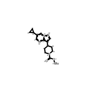 CC(C)(C)OC(=O)N1CCC(c2cnn3cc(C4CC4)cnc23)CC1